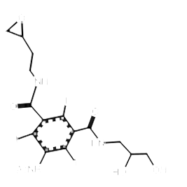 CC(=O)Nc1c(I)c(C(=O)NCCC2CO2)c(I)c(C(=O)NCC(O)CO)c1I